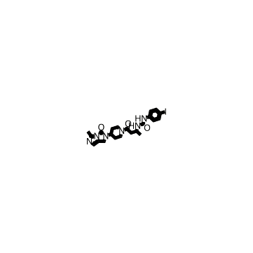 Cc1ncc2n1C(=O)N(C1CCN(C(=O)CC(C)NC(=O)Nc3ccc(I)cc3)CC1)C2